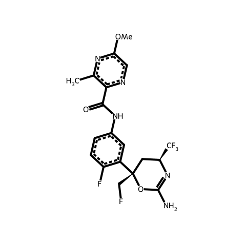 COc1cnc(C(=O)Nc2ccc(F)c([C@]3(CF)C[C@@H](C(F)(F)F)N=C(N)O3)c2)c(C)n1